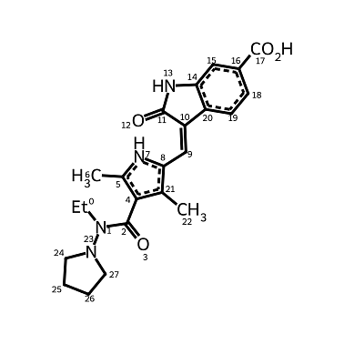 CCN(C(=O)c1c(C)[nH]c(C=C2C(=O)Nc3cc(C(=O)O)ccc32)c1C)N1CCCC1